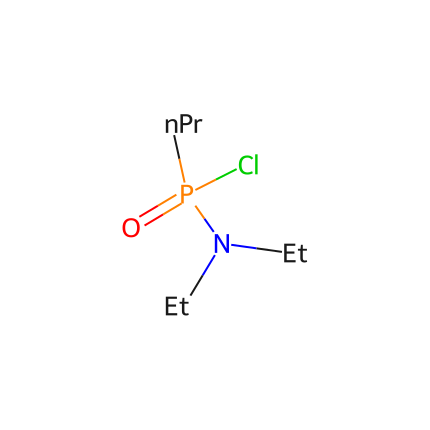 CCCP(=O)(Cl)N(CC)CC